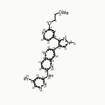 COCCOc1cc(-c2nn(C)cc2-c2cnc3ccc(Nc4cc(C(C)C)cnn4)nc3c2)ccn1